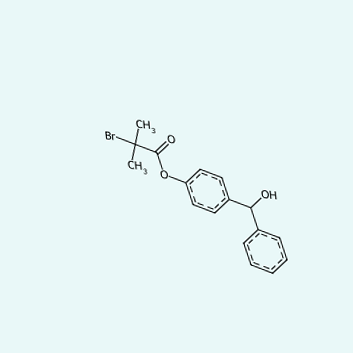 CC(C)(Br)C(=O)Oc1ccc(C(O)c2ccccc2)cc1